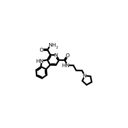 NC(=O)c1nc(C(=O)NCCCN2CCCC2)cc2c1[nH]c1ccccc12